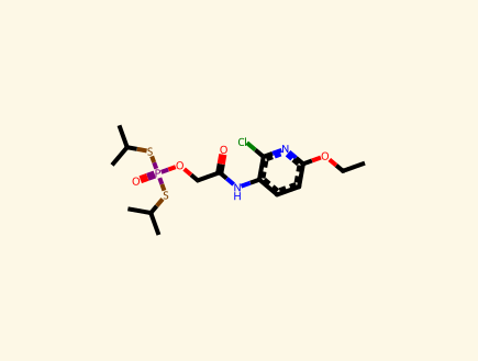 CCOc1ccc(NC(=O)COP(=O)(SC(C)C)SC(C)C)c(Cl)n1